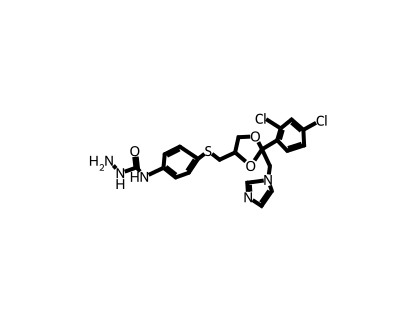 NNC(=O)Nc1ccc(SCC2COC(Cn3ccnc3)(c3ccc(Cl)cc3Cl)O2)cc1